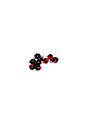 c1cc(-c2nc3ccccc3c3c4c(ccc23)C2(c3ccccc3-c3ccccc32)c2ccccc2-4)cc(-c2cccc3c2oc2ccccc23)c1